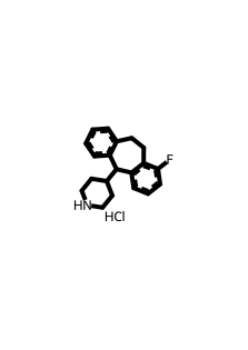 Cl.Fc1cccc2c1CCc1ccccc1C2C1CCNCC1